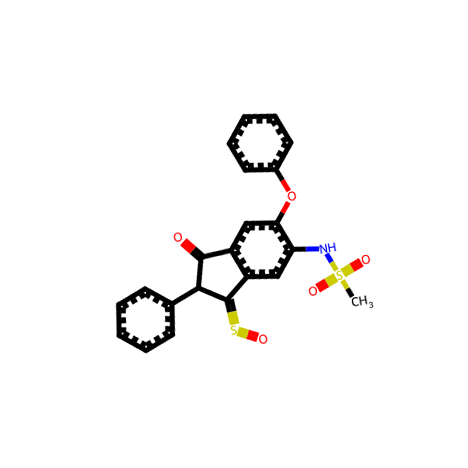 CS(=O)(=O)Nc1cc2c(cc1Oc1ccccc1)C(=O)C(c1ccccc1)C2=S=O